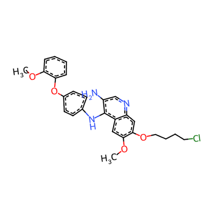 COc1cc2c(Nc3ccc(Oc4ccccc4OC)cc3)c(N)cnc2cc1OCCCCCl